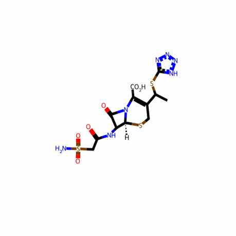 CC(Sc1nnn[nH]1)C1=C(C(=O)O)N2C(=O)C(NC(=O)CS(N)(=O)=O)[C@@H]2SC1